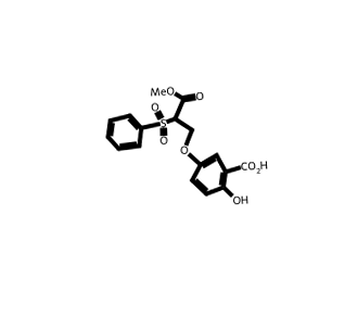 COC(=O)C(COc1ccc(O)c(C(=O)O)c1)S(=O)(=O)c1ccccc1